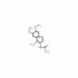 COc1cc2ncc(NC(C)=O)c(C)c2cc1OC